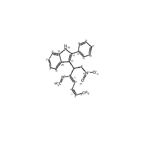 C=N/C(=C\C=C/C)C(C[N+](=O)[O-])c1c(-c2ccccc2)[nH]c2ccccc12